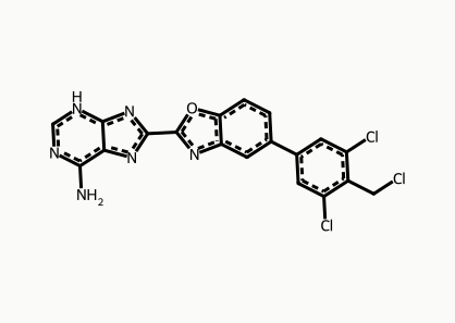 Nc1nc[nH]c2nc(-c3nc4cc(-c5cc(Cl)c(CCl)c(Cl)c5)ccc4o3)nc1-2